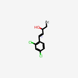 CC(=O)CC(O)/C=C/c1ccc(Cl)cc1Cl